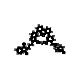 COc1nc(-c2cccc(-c3cccc(-c4ccc5nn(CCCN6C(=O)c7ccccc7C6=O)c(=O)n5c4)c3Cl)c2Cl)ccc1CNC[C@@H]1CCC(=O)N1